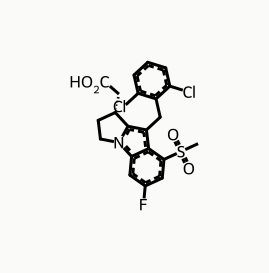 CS(=O)(=O)c1cc(F)cc2c1c(Cc1c(Cl)cccc1Cl)c1n2CC[C@@H]1CC(=O)O